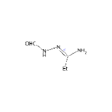 CC/C(N)=N\NC=O